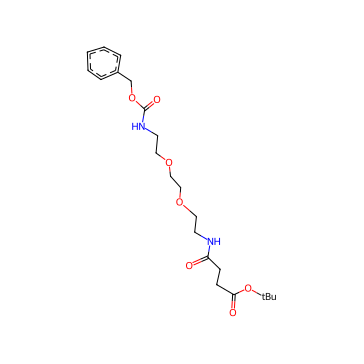 CC(C)(C)OC(=O)CCC(=O)NCCOCCOCCNC(=O)OCc1ccccc1